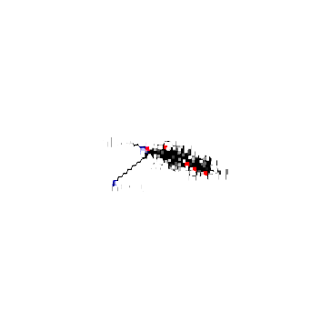 CCCCCCCC/C=C\CCCCCCCCCCCCCC(=O)N[C@@H](CO[C@@H]1OC(CO)[C@@H](O[C@@H]2OC(CO)[C@H](O[C@@H]3OC(CO)[C@H](O)[C@H](O[C@@H]4OC(CO)[C@H](O)[C@H](O[C@H]5OC(CO)[C@H](O)[C@H](O)C5O)C4O)C3NC(C)=O)[C@H](O)C2O)[C@H](O)C1O)[C@H](O)/C=C/CCCCCCCCCCCCC